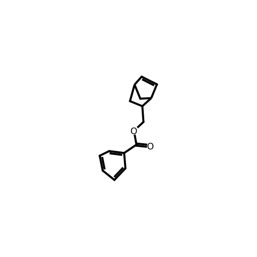 O=C(OCC1CC2C=CC1C2)c1ccccc1